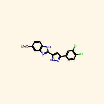 COc1ccc2[nH]c(-c3cc(-c4ccc(Cl)c(Cl)c4)n[nH]3)nc2c1